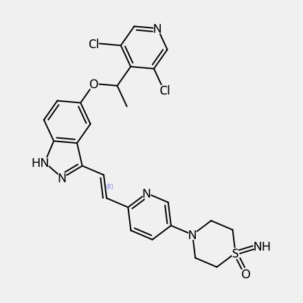 CC(Oc1ccc2[nH]nc(/C=C/c3ccc(N4CCS(=N)(=O)CC4)cn3)c2c1)c1c(Cl)cncc1Cl